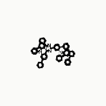 c1ccc(-c2cccc(-c3cccc(-c4ccc(-c5nc(-c6ccccc6)nc(-c6ccc(-c7ccccc7)cc6-n6c7ccccc7c7ccccc76)n5)cc4-n4c5ccccc5c5ccccc54)c3)c2)cc1